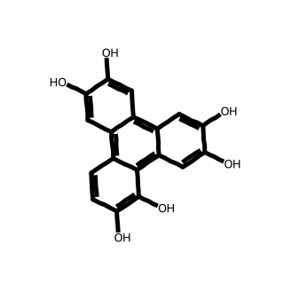 Oc1cc2c(cc1O)c1ccc(O)c(O)c1c1cc(O)c(O)cc21